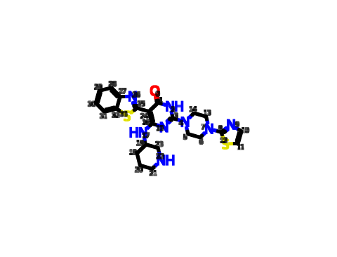 O=c1[nH]c(N2CCN(c3nccs3)CC2)nc(N[C@@H]2CCCNC2)c1-c1nc2ccccc2s1